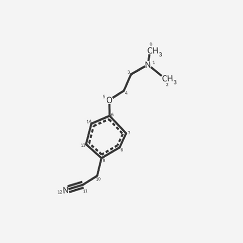 CN(C)CCOc1ccc(CC#N)cc1